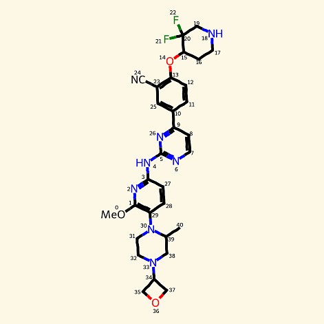 COc1nc(Nc2nccc(-c3ccc(OC4CCNCC4(F)F)c(C#N)c3)n2)ccc1N1CCN(C2COC2)CC1C